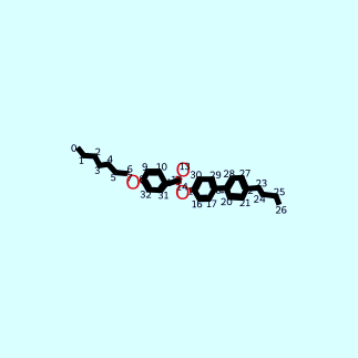 CCCCCCCOc1ccc(C(=O)Oc2ccc(-c3ccc(CCCC)cc3)cc2)cc1